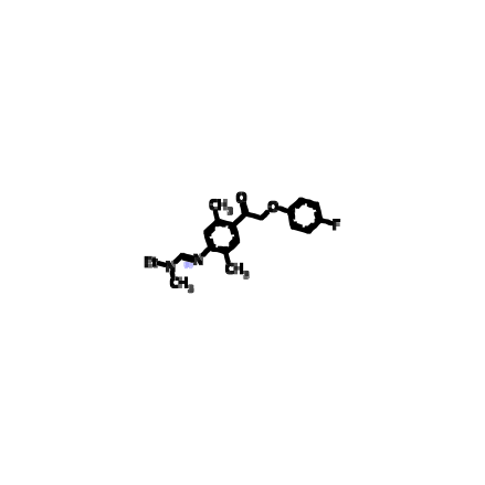 CCN(C)/C=N/c1cc(C)c(C(=O)COc2ccc(F)cc2)cc1C